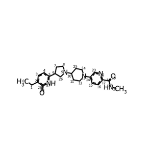 CCc1ccc(C2CCN(C3CCN(c4ccc(C(=O)NC)nc4)CC3)C2)[nH]c1=O